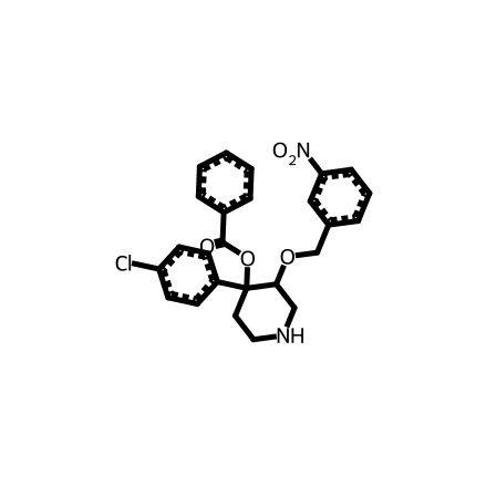 O=C(OC1(c2ccc(Cl)cc2)CCNCC1OCc1cccc([N+](=O)[O-])c1)c1ccccc1